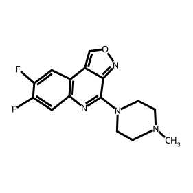 CN1CCN(c2nc3cc(F)c(F)cc3c3conc23)CC1